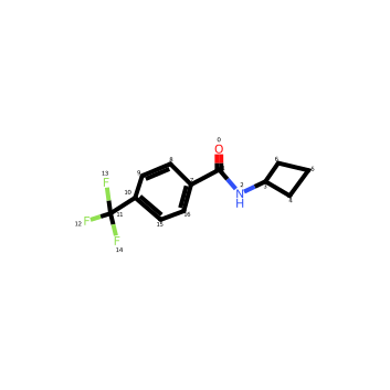 O=C(NC1CCC1)c1ccc(C(F)(F)F)cc1